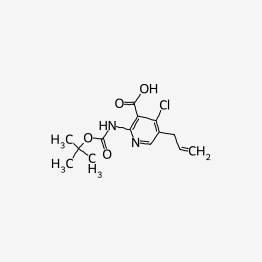 C=CCc1cnc(NC(=O)OC(C)(C)C)c(C(=O)O)c1Cl